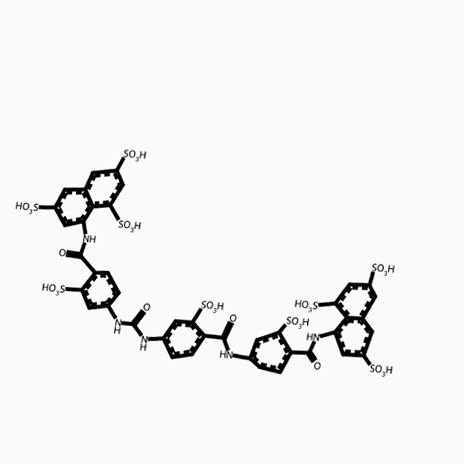 O=C(Nc1ccc(C(=O)Nc2ccc(C(=O)Nc3cc(S(=O)(=O)O)cc4cc(S(=O)(=O)O)cc(S(=O)(=O)O)c34)c(S(=O)(=O)O)c2)c(S(=O)(=O)O)c1)Nc1ccc(C(=O)Nc2cc(S(=O)(=O)O)cc3cc(S(=O)(=O)O)cc(S(=O)(=O)O)c23)c(S(=O)(=O)O)c1